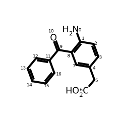 Nc1ccc(CC(=O)O)cc1C(=O)c1ccccc1